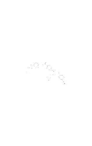 O=C(NCc1ccc(S(=O)(=O)NC2CC2)cc1)c1ccc(N2C[C@@H](Oc3ccc(C(F)(F)F)cc3)C[C@H]2COC(F)F)cc1